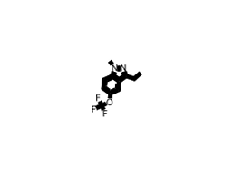 CCc1nn(C)c2ccc(OC(F)(F)F)cc12